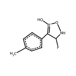 Cc1ccc(C2=[N+](O)ONC2F)cc1